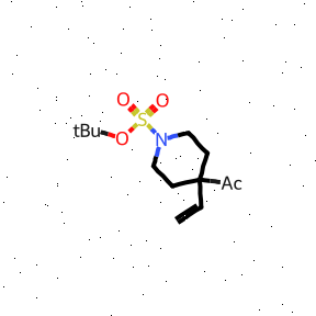 C=CC1(C(C)=O)CCN(S(=O)(=O)OC(C)(C)C)CC1